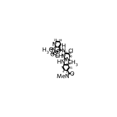 CNC(=O)c1ccc(Nc2ncc(Cl)c(NCc3cccnc3N(C)S(C)(=O)=O)n2)c(C)c1